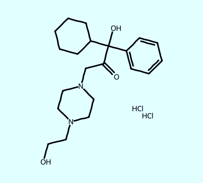 Cl.Cl.O=C(CN1CCN(CCO)CC1)C(O)(c1ccccc1)C1CCCCC1